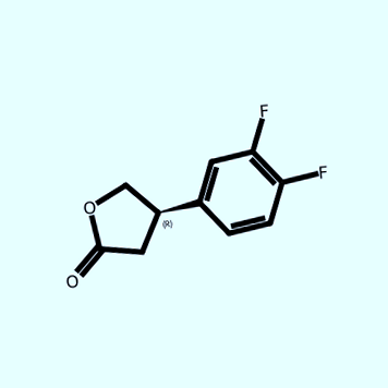 O=C1C[C@H](c2ccc(F)c(F)c2)CO1